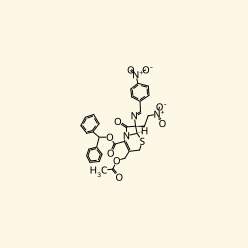 CC(=O)OCC1=C(C(=O)OC(c2ccccc2)c2ccccc2)N2C(=O)[C@](CC[N+](=O)[O-])(N=Cc3ccc([N+](=O)[O-])cc3)[C@H]2SC1